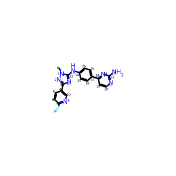 Cn1nc(-c2ccc(F)nc2)nc1Nc1ccc(-c2ccnc(N)n2)cc1